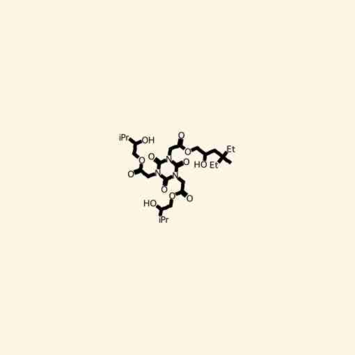 CCC(C)(CC)CC(O)COC(=O)Cn1c(=O)n(CC(=O)OCC(O)C(C)C)c(=O)n(CC(=O)OCC(O)C(C)C)c1=O